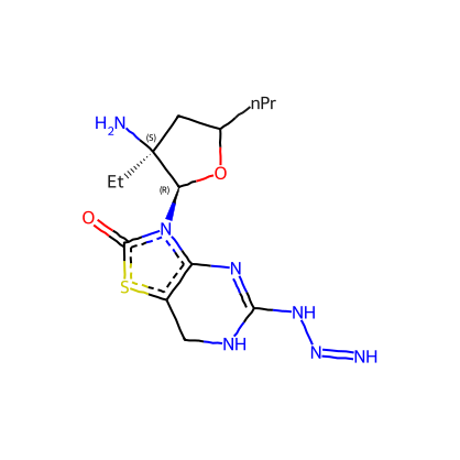 CCCC1C[C@@](N)(CC)[C@H](n2c3c(sc2=O)CNC(NN=N)=N3)O1